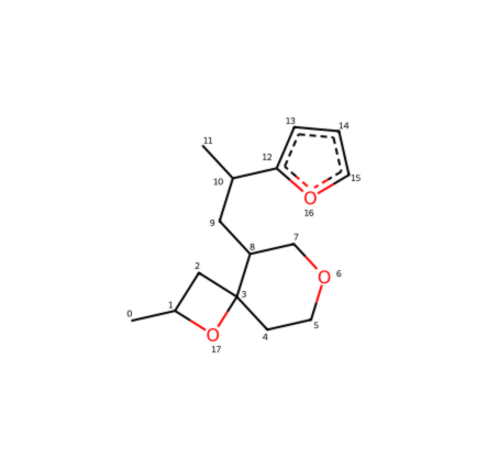 CC1CC2(CCOCC2CC(C)c2ccco2)O1